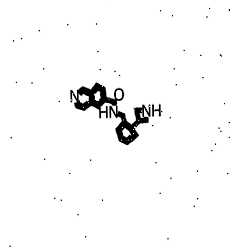 O=C(NCc1ccccc1C1CNC1)c1ccc2cnccc2c1